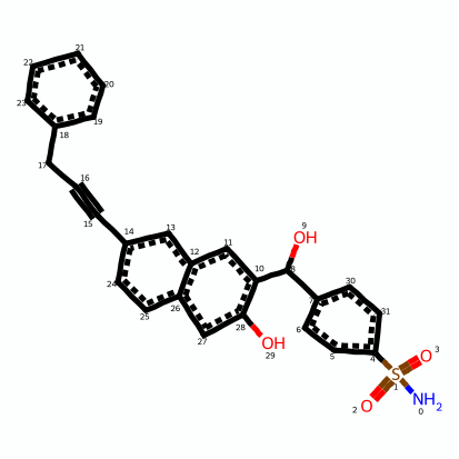 NS(=O)(=O)c1ccc(C(O)c2cc3cc(C#CCc4ccccc4)ccc3cc2O)cc1